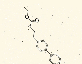 CCOC(=O)[CH]CCc1ccc(-c2ccccc2)cc1